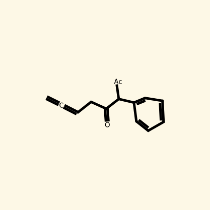 C=C=CCC(=O)C(C(C)=O)c1ccccc1